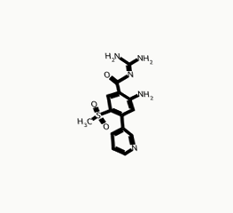 CS(=O)(=O)c1cc(C(=O)N=C(N)N)c(N)cc1-c1cccnc1